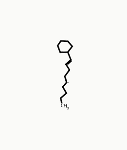 CCCC[CH]CC/C=C/C1CCCCC1